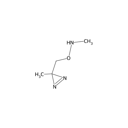 CNOCC1(C)N=N1